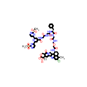 CC[C@@]1(O)C(=O)OCc2c1cc1n(c2=O)Cc2c-1nc1cc(Cl)c(C)c3c1c2[C@@H](NC(=O)COCNC(=O)CNC(=O)[C@H](Cc1ccccc1)NC(=O)CNC(=O)CNC(=O)c1cc(-c2ccnc(S(C)(=O)=O)n2)nc(-c2ccnc(S(C)(=O)=O)n2)c1)CC3